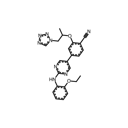 CCOc1ccccc1Nc1ncc(-c2ccc(C#N)c(OC(C)Cn3cnnn3)c2)cn1